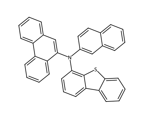 c1ccc2cc(N(c3cc4ccccc4c4ccccc34)c3cccc4c3sc3ccccc34)ccc2c1